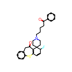 O=C1Cc2ccccc2SC2=C1C1(CCN(CCCCC(=O)c3ccccc3)CC1)C(F)C=C2